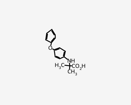 CC(C)(Nc1ccc(Oc2ccccc2)cc1)C(=O)O